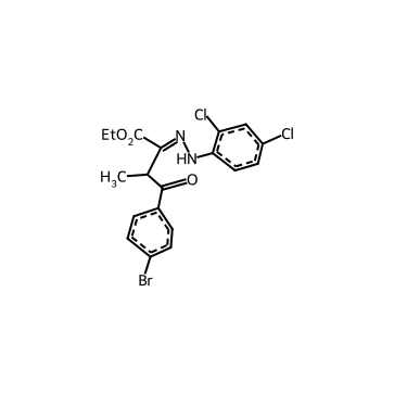 CCOC(=O)C(=NNc1ccc(Cl)cc1Cl)C(C)C(=O)c1ccc(Br)cc1